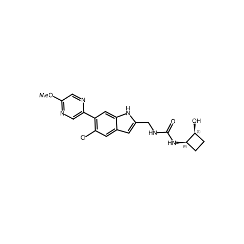 COc1cnc(-c2cc3[nH]c(CNC(=O)N[C@@H]4CC[C@@H]4O)cc3cc2Cl)cn1